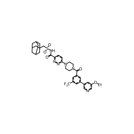 CCOc1cncc(-c2cc(C(=O)N3CCN(c4ccc(C(=O)NS(=O)(=O)CC56CC7CC(CC(C7)C5)C6)nn4)CC3)cc(C(F)(F)F)c2)c1